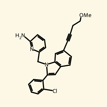 COCCC#Cc1ccc2cc(-c3ccccc3Cl)n(Cc3cccc(N)n3)c2c1